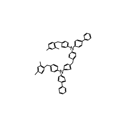 Cc1ccc(Cc2ccc(N(c3ccc(Cc4ccc(N(c5ccc(Cc6ccc(C)cc6C)cc5)c5ccc(-c6ccccc6)cc5)cc4)cc3)c3ccc(-c4ccccc4)cc3)cc2)c(C)c1